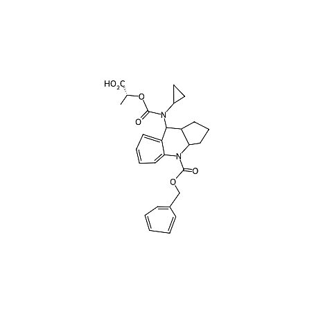 C[C@@H](OC(=O)N(C1CC1)C1c2ccccc2N(C(=O)OCc2ccccc2)C2CCCC21)C(=O)O